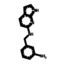 Nc1cccc(CNc2ccc3cc[nH]c3n2)c1